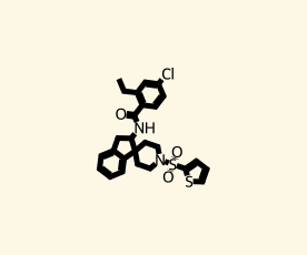 CCc1cc(Cl)ccc1C(=O)NC1Cc2ccccc2C12CCN(S(=O)(=O)c1cccs1)CC2